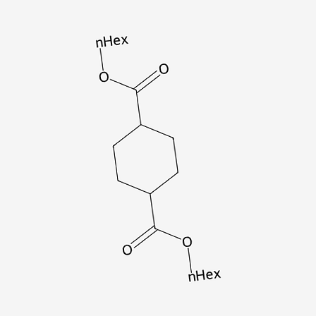 CCCCCCOC(=O)C1CCC(C(=O)OCCCCCC)CC1